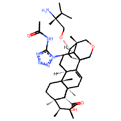 CC(=O)Nc1nnnn1[C@@H]1C[C@@]23COC[C@](C)([C@@H]2CC[C@H]2C3=CC[C@@]3(C)[C@H](C(=O)O)[C@@](C)([C@H](C)C(C)C)CC[C@]23C)[C@H]1OC[C@](C)(N)C(C)C